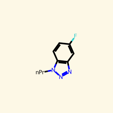 CCCn1nnc2cc(F)ccc21